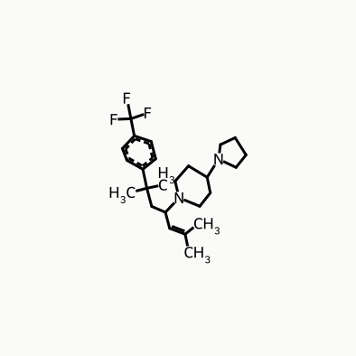 CC(C)=CC(CC(C)(C)c1ccc(C(F)(F)F)cc1)N1CCC(N2CCCC2)CC1